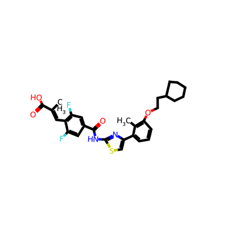 CC(=Cc1c(F)cc(C(=O)Nc2nc(-c3cccc(OCCC4CCCCC4)c3C)cs2)cc1F)C(=O)O